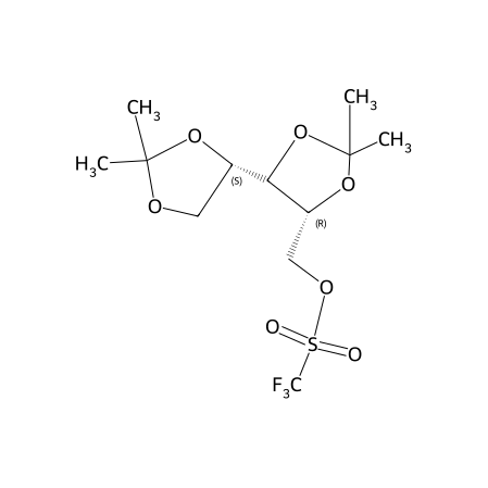 CC1(C)OC[C@@H](C2OC(C)(C)O[C@@H]2COS(=O)(=O)C(F)(F)F)O1